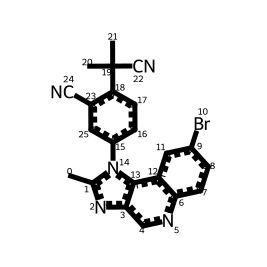 Cc1nc2cnc3ccc(Br)cc3c2n1-c1ccc(C(C)(C)C#N)c(C#N)c1